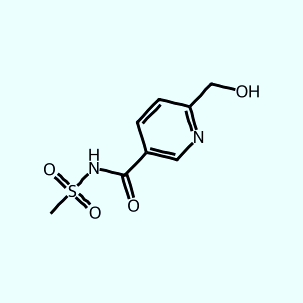 CS(=O)(=O)NC(=O)c1ccc(CO)nc1